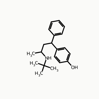 CC(CC(c1ccccc1)c1ccc(O)cc1)NC(C)(C)C